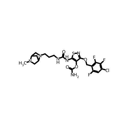 CN1CC2CC1CN2CCCNC(=O)Nc1snc(OCc2c(F)cc(Cl)c(F)c2F)c1OC(N)=O